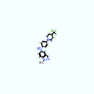 Cn1ncc2cc(Nc3ccc(N4CCC(C(F)(F)F)CC4)cc3)ccc21